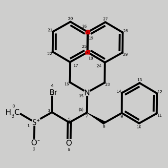 C[S+]([O-])C(Br)C(=O)[C@H](Cc1ccccc1)N(Cc1ccccc1)Cc1ccccc1